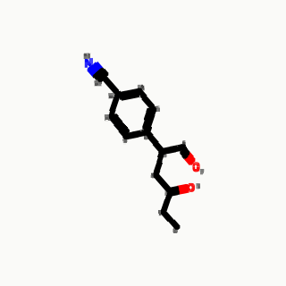 CCC(=O)CC(C=O)c1ccc(C#N)cc1